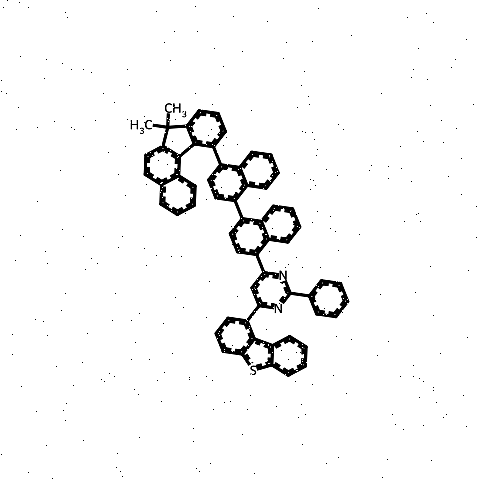 CC1(C)c2cccc(-c3ccc(-c4ccc(-c5cc(-c6cccc7sc8ccccc8c67)nc(-c6ccccc6)n5)c5ccccc45)c4ccccc34)c2-c2c1ccc1ccccc21